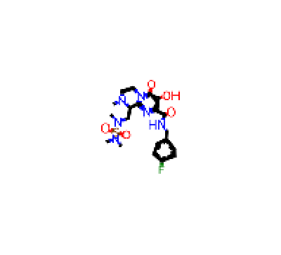 CN1CCn2c(nc(C(=O)NCc3ccc(F)cc3)c(O)c2=O)C1CN(C)S(=O)(=O)N(C)C